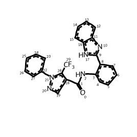 O=C(Nc1ccccc1-c1nc2ccccc2[nH]1)c1cnn(-c2ccccc2)c1C(F)(F)F